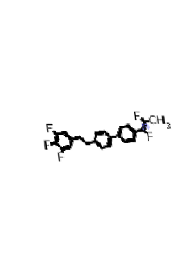 C/C(F)=C(\F)c1ccc(-c2ccc(CCc3cc(F)c(F)c(F)c3)cc2)cc1